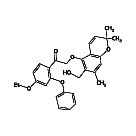 CCOc1ccc(C(=O)COc2c3c(cc(C)c2CO)OC(C)(C)C=C3)c(Oc2ccccc2)c1